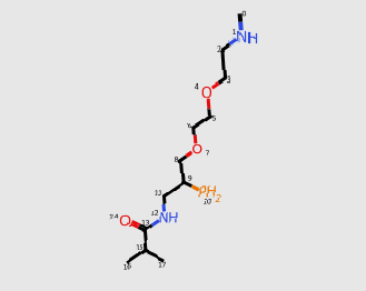 CNCCOCCOCC(P)CNC(=O)C(C)C